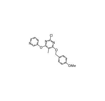 COc1ccc(COc2nc(Cl)nc(Oc3cccnc3)c2C)cc1